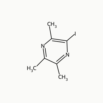 Cc1nc(C)c(I)nc1C